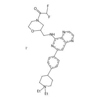 CC[N+]1(CC)CCC(c2ccc(-c3cc4nccnc4c(NCC4CN(C(=O)C(F)F)CCO4)n3)cc2)CC1.[I-]